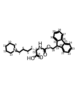 O=C(N[C@@H](CCCCN1CCCCC1)C(=O)O)OCC1c2ccccc2-c2ccccc21